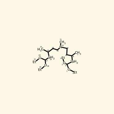 CCOC(OCC)[SiH2]C(C)CCN(C)CCC(C)[SiH2]C(OCC)OCC